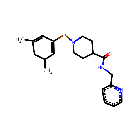 CC1=CC(SN2CCC(C(=O)NCc3ccccn3)CC2)=CC(C)C1